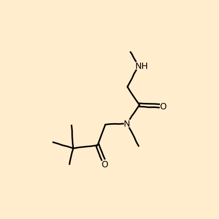 CNCC(=O)N(C)CC(=O)C(C)(C)C